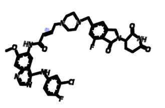 COc1cc2ncnc(Nc3ccc(F)c(Cl)c3)c2cc1NC(=O)/C=C/CN1CCN(Cc2cc(F)c3c(c2)CN(C2CCC(=O)NC2=O)C3=O)CC1